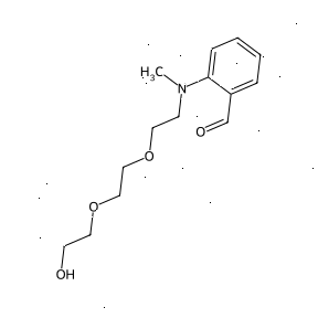 CN(CCOCCOCCO)c1ccccc1C=O